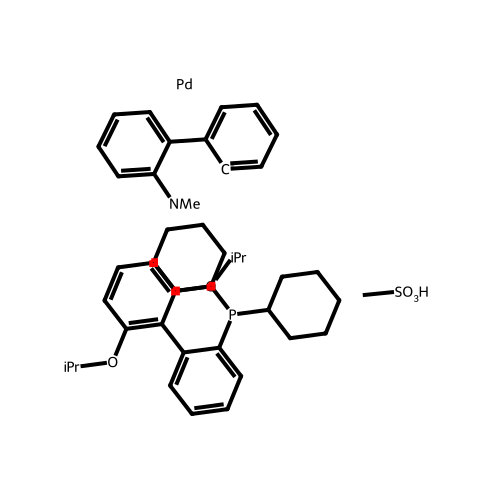 CC(C)Oc1cccc(OC(C)C)c1-c1ccccc1P(C1CCCCC1)C1CCCCC1.CNc1ccccc1-c1[c-]cccc1.CS(=O)(=O)O.[Pd]